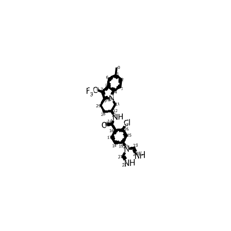 Cc1ccc2c(c1)c(C(F)(F)F)c1n2CC(NC(=O)c2ccc(N(C=N)C=N)cc2Cl)CC1